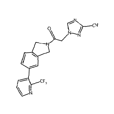 N#Cc1ncn(CC(=O)N2Cc3ccc(-c4cccnc4C(F)(F)F)cc3C2)n1